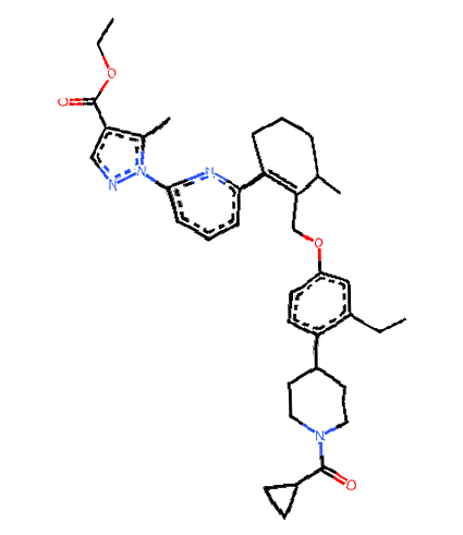 CCOC(=O)c1cnn(-c2cccc(C3=C(COc4ccc(C5CCN(C(=O)C6CC6)CC5)c(CC)c4)C(C)CCC3)n2)c1C